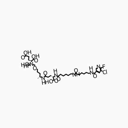 C[C@H](CCCOCN(PO)[C@@H](CCC(=O)O)C(=O)O)NC(=O)CC[C@H](NC(=O)CCCCCNC(=O)CCCCCNC(=O)c1cnc(F)c(Cl)c1)C(=O)O